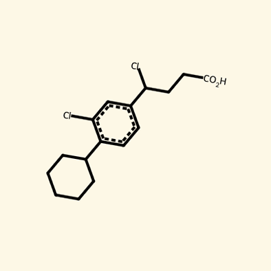 O=C(O)CCC(Cl)c1ccc(C2CCCCC2)c(Cl)c1